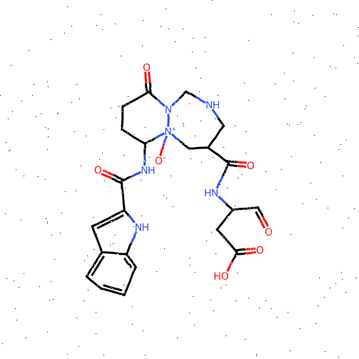 O=CC(CC(=O)O)NC(=O)C1CNCN2C(=O)CCC(NC(=O)c3cc4ccccc4[nH]3)[N+]2([O-])C1